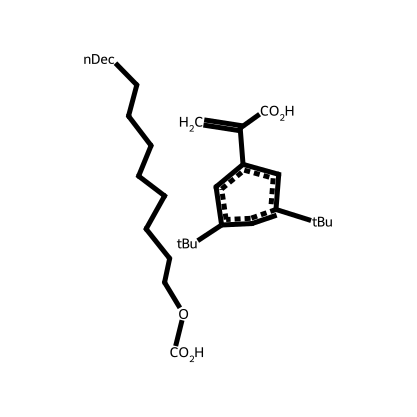 C=C(C(=O)O)c1cc(C(C)(C)C)cc(C(C)(C)C)c1.CCCCCCCCCCCCCCCCCCOC(=O)O